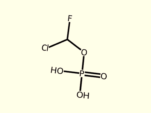 O=P(O)(O)OC(F)Cl